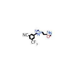 N#Cc1cc(-c2ncn(C=Cc3nnco3)n2)cc(C(F)(F)F)c1